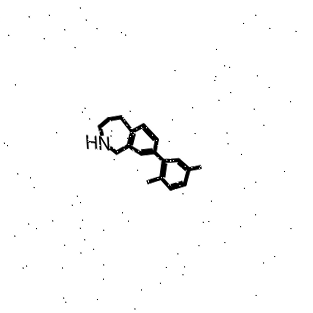 Cc1ccc(C)c(-c2ccc3c(c2)CNCCC3)c1